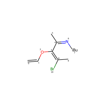 C=COC(/C(C)=N\C(C)CC)=C(/C)Br